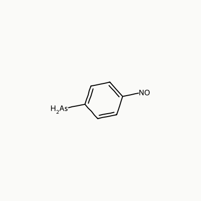 O=Nc1ccc([AsH2])cc1